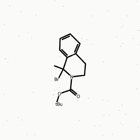 CC(C)(C)OC(=O)N1CCc2ccccc2C1(C)Br